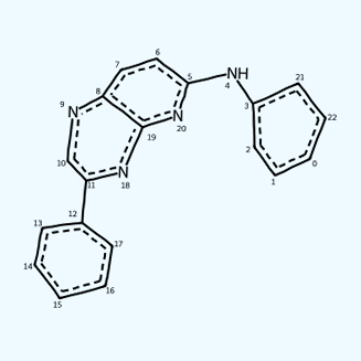 c1ccc(Nc2ccc3ncc(-c4ccccc4)nc3n2)cc1